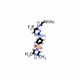 CC(=O)NCCNc1nc(Nc2ccc(S(=O)(=O)N3CC(C)NC(C)C3)cc2)ncc1C(F)(F)F